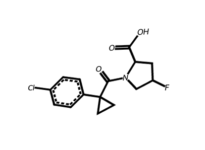 O=C(O)C1CC(F)CN1C(=O)C1(c2ccc(Cl)cc2)CC1